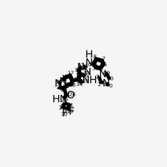 CN1CCN(c2cccc(Nc3ncc4c(-c5ccn6ncc(C(=O)NC7CC(F)(F)C7)c6c5)c[nH]c4n3)c2)CC1